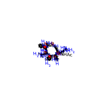 CC(=O)N[C@H](CCCNC(=N)N)C(=O)N[C@H]1CCCNC(=O)CC[C@@H](C(N)=O)NC(=O)[C@H](Cc2c[nH]c3ccccc23)NC(=O)[C@H](CCCNC(=N)N)NC(=O)[C@@H](Cc2ccc(N)cc2)NC(=O)[C@H](Cc2c[nH]cn2)NC1=O